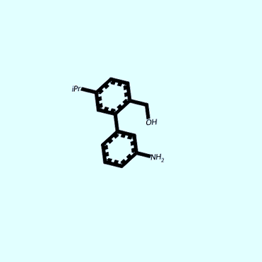 CC(C)c1ccc(CO)c(-c2cccc(N)c2)c1